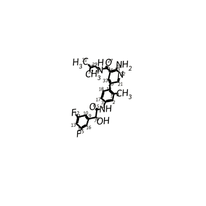 Cc1cc(NC(=O)[C@@H](O)c2cc(F)cc(F)c2)ccc1-c1cnc(N)c(C(=O)NCC(C)C)c1